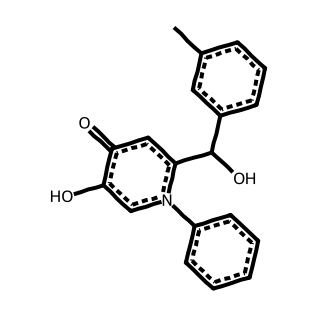 Cc1cccc(C(O)c2cc(=O)c(O)cn2-c2ccccc2)c1